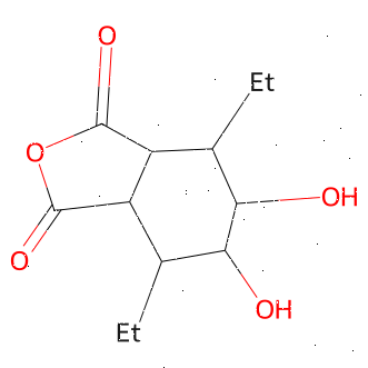 CCC1C(O)C(O)C(CC)C2C(=O)OC(=O)C12